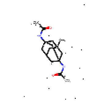 CC(=O)OC12CC3CC(NC(=O)C(Cl)(Cl)Cl)(CC(NC(=O)C(Cl)(Cl)Cl)(C3)C1)C2